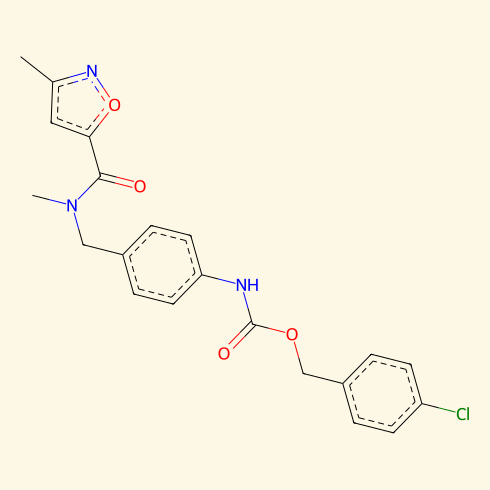 Cc1cc(C(=O)N(C)Cc2ccc(NC(=O)OCc3ccc(Cl)cc3)cc2)on1